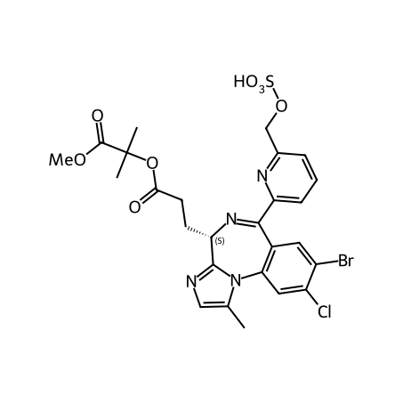 COC(=O)C(C)(C)OC(=O)CC[C@@H]1N=C(c2cccc(COS(=O)(=O)O)n2)c2cc(Br)c(Cl)cc2-n2c(C)cnc21